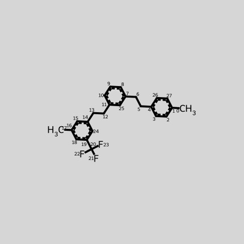 Cc1ccc(CCc2cccc(CCc3cc(C)cc(C(F)(F)F)c3)c2)cc1